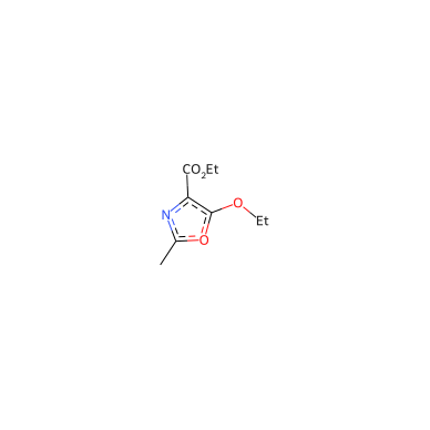 CCOC(=O)c1nc(C)oc1OCC